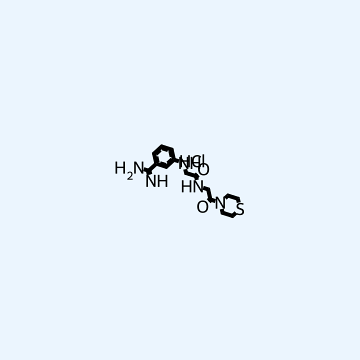 Cl.N=C(N)c1cccc(NCC(=O)NCC(=O)N2CCSCC2)c1